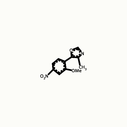 COc1cc([N+](=O)[O-])ccc1-c1ocnc1C